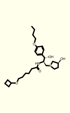 CCCCOc1ccc([C@H](O)[C@@H](CN2CC[C@H](O)C2)NC(=O)CCCCCOC2CCC2)cc1